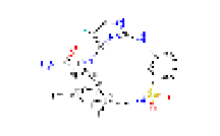 NC(=O)[C@H]1[C@@H]2C[C@H]3CNS(=O)(=O)c4cccc(c4)Nc4ncc(F)c(n4)N[C@@H]1[C@@H]3C2